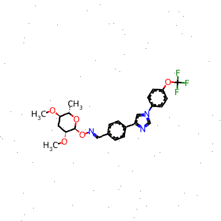 CO[C@@H]1C[C@@H](OC)[C@H](C)O[C@H]1O/N=C/c1ccc(-c2cn(-c3ccc(OC(F)(F)F)cc3)cn2)cc1